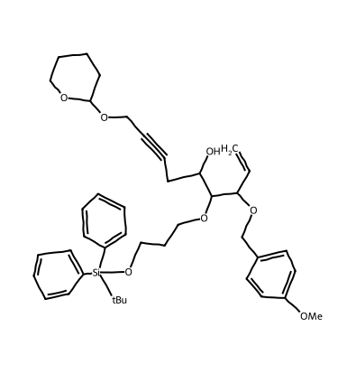 C=CC(OCc1ccc(OC)cc1)C(OCCCO[Si](c1ccccc1)(c1ccccc1)C(C)(C)C)C(O)CC#CCOC1CCCCO1